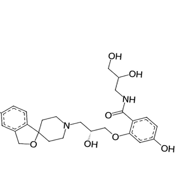 O=C(NCC(O)CO)c1ccc(O)cc1OC[C@H](O)CN1CCC2(CC1)OCc1cc(Cl)ccc12